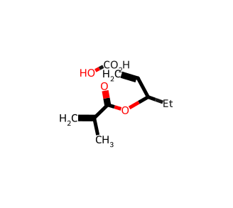 C=CC(CC)OC(=O)C(=C)C.O=C(O)O